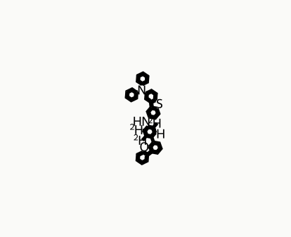 [2H]c1c([2H])c(-c2cccc3c2oc2ccccc23)c([2H])c([2H])c1Nc1ccc2sc3ccc(N(c4ccccc4)c4ccccc4)cc3c2c1